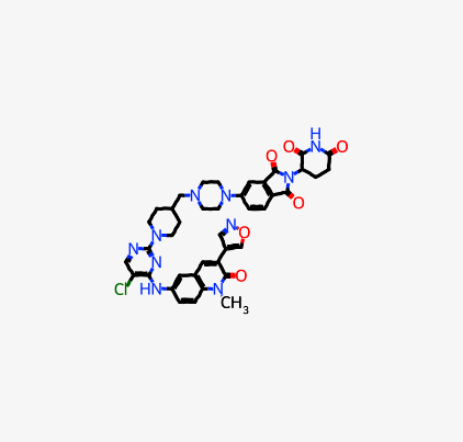 Cn1c(=O)c(-c2cnoc2)cc2cc(Nc3nc(N4CCC(CN5CCN(c6ccc7c(c6)C(=O)N(C6CCC(=O)NC6=O)C7=O)CC5)CC4)ncc3Cl)ccc21